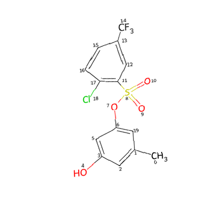 Cc1cc(O)cc(OS(=O)(=O)c2cc(C(F)(F)F)ccc2Cl)c1